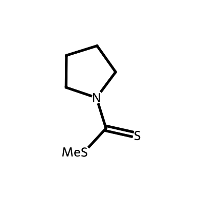 CSC(=S)N1CCCC1